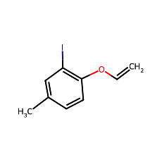 C=COc1ccc(C)cc1I